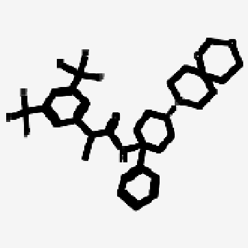 CC(C(=O)N[C@]1(c2ccccc2)CC[C@@H](N2CCC3(CCOCO3)CC2)CC1)c1cc(C(F)(F)F)cc(C(F)(F)F)c1